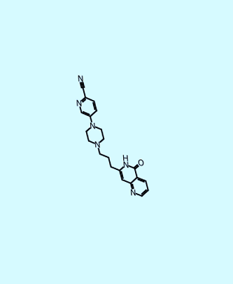 N#Cc1ccc(N2CCN(CCCc3cc4ncccc4c(=O)[nH]3)CC2)cn1